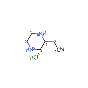 Cl.N#CCC1CNCCN1